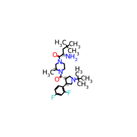 C[C@H]1CN(C(=O)[C@@H](N)CC(C)(C)C)CCN1C(=O)[C@@H]1CN(C(C)(C)C)C[C@H]1c1ccc(F)cc1F